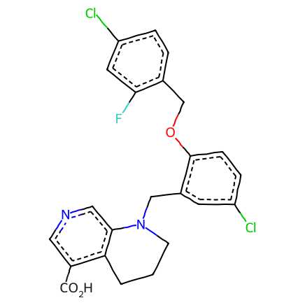 O=C(O)c1cncc2c1CCCN2Cc1cc(Cl)ccc1OCc1ccc(Cl)cc1F